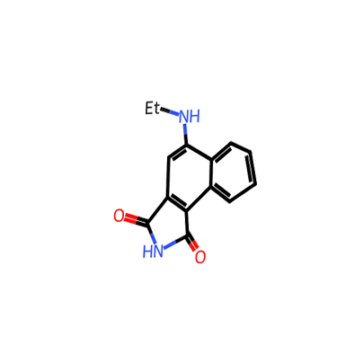 CCNc1cc2c(c3ccccc13)C(=O)NC2=O